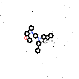 CC1(C)c2ccccc2-c2ccc(N(c3ccc(-c4ccccc4)cc3)c3ccc(-n4c5ccccc5c5ccc6oc7ccccc7c6c54)cc3)cc21